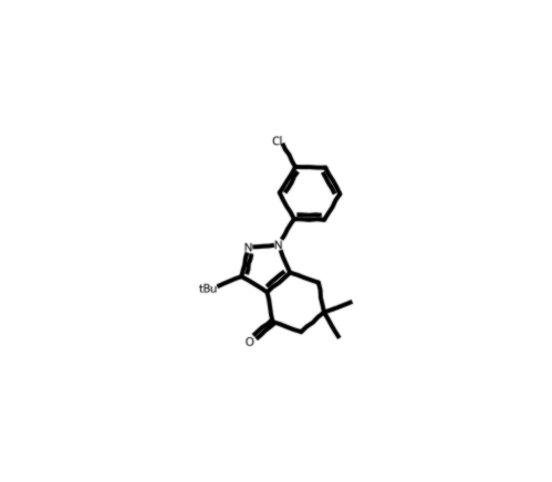 CC1(C)CC(=O)c2c(C(C)(C)C)nn(-c3cccc(Cl)c3)c2C1